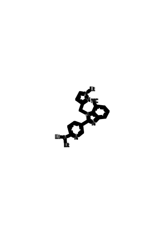 CCN(CC)c1ccc(-c2nc3cccc(C#N)c3n2Cc2ccn(CC)n2)cn1